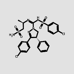 C[C@H](CS(N)(=O)=O)/N=C(/NS(=O)(=O)c1ccc(Cl)cc1)N1C[C@H](c2ccccc2)C(c2ccc(Cl)cc2)=N1